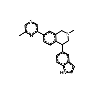 Cc1cncc(-c2ccc3c(c2)CN(C)CC3c2ccc3[nH]ccc3c2)n1